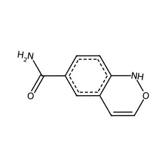 NC(=O)c1ccc2c(c1)C=CON2